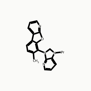 Cc1ccc2c(oc3ncccc32)c1N1CN(C(C)C)c2cccnc21